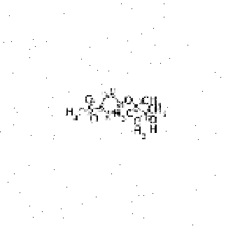 CC(C)(O)C(C)(C)Oc1ccc(S(C)(=O)=O)cc1